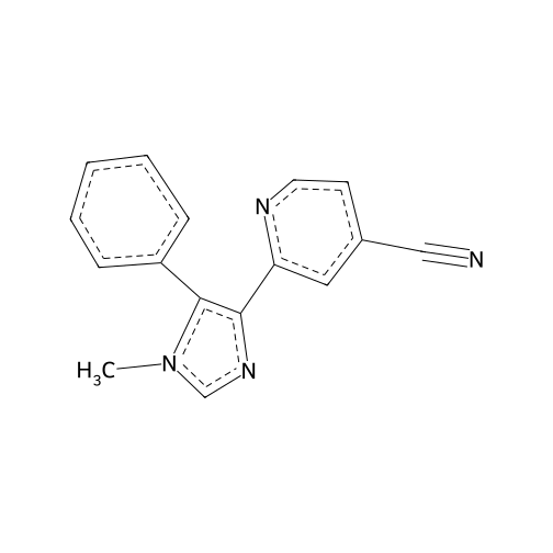 Cn1cnc(-c2cc(C#N)ccn2)c1-c1ccccc1